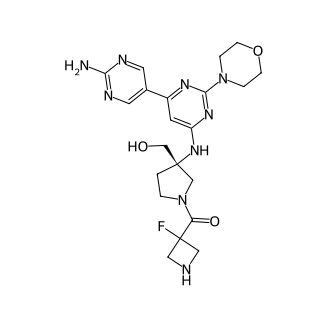 Nc1ncc(-c2cc(N[C@@]3(CO)CCN(C(=O)C4(F)CNC4)C3)nc(N3CCOCC3)n2)cn1